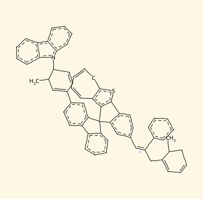 CC1CC=CC=C1C/C(=C/c1ccc2c(c1)C1(c3ccccc3-c3ccc(C4=CC(C)C(n5c6ccccc6c6ccccc65)C=C4)cc31)c1c-2sc2c1C=CC=CC2)c1ccccc1